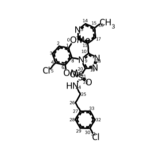 COc1ccc(Cl)c(OC)c1-n1c(-c2cncc(C)c2)nnc1S(=O)(=O)NCCc1ccc(Cl)cc1